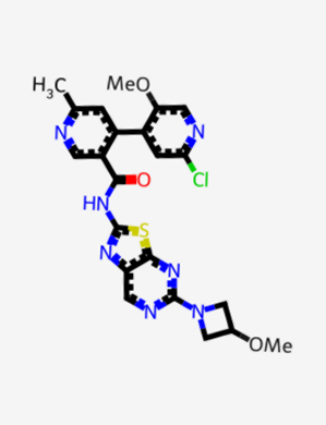 COc1cnc(Cl)cc1-c1cc(C)ncc1C(=O)Nc1nc2cnc(N3CC(OC)C3)nc2s1